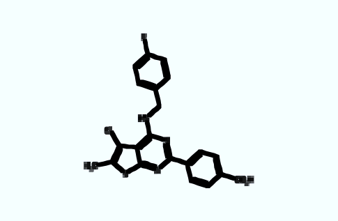 Cc1sc2nc(-c3ccc(C(=O)O)cc3)nc(NCc3ccc(F)cc3)c2c1Cl